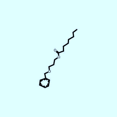 CCCCCCCC(=O)OCCCOCc1ccccc1